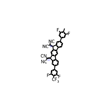 [C-]#[N+]/C(C#N)=C1/c2cc(-c3cc(F)c(C(F)(F)F)c(F)c3)ccc2-c2cc3c(cc21)/C(=C(\C#N)[N+]#[C-])c1cc(-c2cc(F)c(C)c(F)c2)ccc1-3